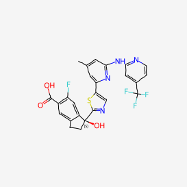 Cc1cc(Nc2cc(C(F)(F)F)ccn2)nc(-c2cnc([C@]3(O)CCc4cc(C(=O)O)c(F)cc43)s2)c1